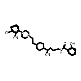 N#Cc1c(Cl)cccc1N1CCN(CCC2CCC(C(C#N)CCCNC(=O)c3ccccc3O)CC2)CC1